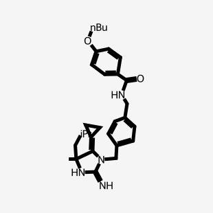 CCCCOc1ccc(C(=O)NCc2ccc(CN3C(=N)NC(C)(CC(C)C)C3=C3CC3)cc2)cc1